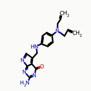 C=CCN(CC=C)c1ccc(NCC2=C3C(=O)N=C(N)N=C3N=C2)cc1